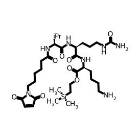 CC(C)[C@H](NC(=O)CCCCCN1C(=O)C=CC1=O)C(=O)N[C@@H](CCCNC(N)=O)C(=O)N[C@@H](CCCCN)C(=O)OCC[Si](C)(C)C